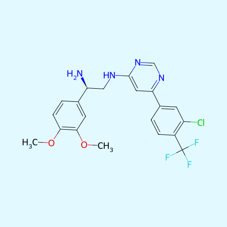 COc1ccc([C@@H](N)CNc2cc(-c3ccc(C(F)(F)F)c(Cl)c3)ncn2)cc1OC